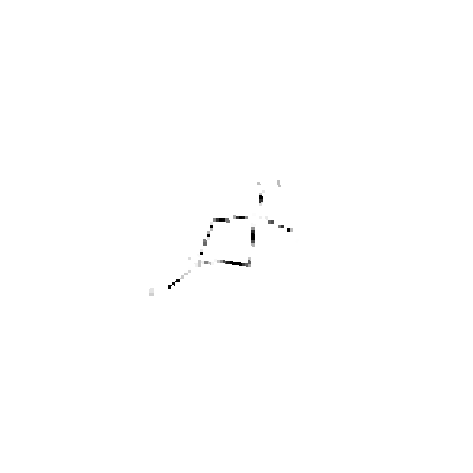 C[Si]1(C)C[SiH](Cl)C1